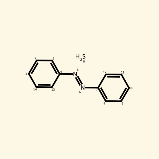 S.c1ccc(N=Nc2ccccc2)cc1